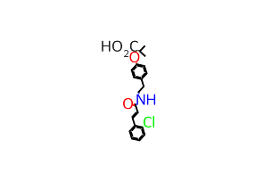 CC(C)(Oc1ccc(CCNC(=O)C=Cc2ccccc2Cl)cc1)C(=O)O